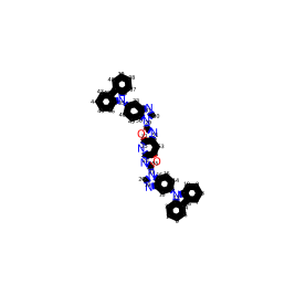 c1ccc2c(c1)c1ccccc1n2-c1ccc2c(c1)ncn2-c1nc2nc3oc(-n4cnc5cc(-n6c7ccccc7c7ccccc76)ccc54)nc3cc2o1